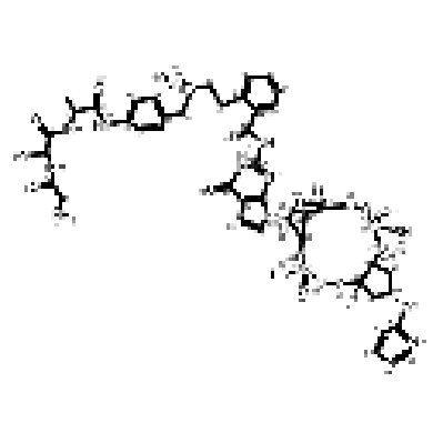 CC(NC(=O)C(NC(=O)CN)C(C)C)C(=O)Nc1ccc(CN(CCc2ccccc2C(=O)Nc2nc3c(ncn3[C@@H]3O[C@@H]4CO[P@@](=O)(S)O[C@H]5C[C@H](Oc6ccncn6)C[C@@H]5CO[P@@](=O)(S)O[C@@H]3[C@@H]4O)c(=O)[nH]2)C(=O)O)cc1